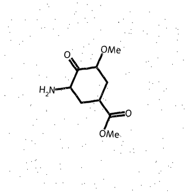 COC(=O)C1CC(N)C(=O)C(OC)C1